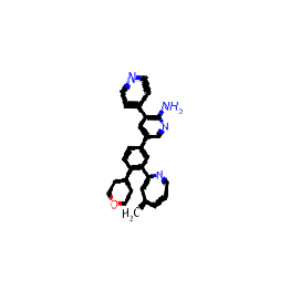 C=C1C=CC=NC(c2cc(-c3cnc(N)c(-c4ccncc4)c3)ccc2C2CCOCC2)=C1